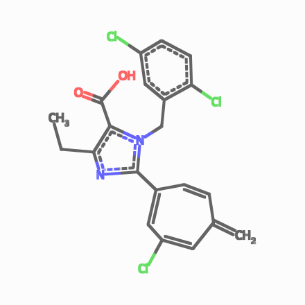 C=C1C=CC(c2nc(CC)c(C(=O)O)n2Cc2cc(Cl)ccc2Cl)=CC(Cl)=C1